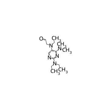 CCN(CC)c1ncc(N(CC)CC=O)c(N(C)C)n1